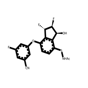 CC(=O)NSc1ccc(Oc2cc(F)cc(C#N)c2)c2c1[C@H](O)[C@H](F)[C@H]2F